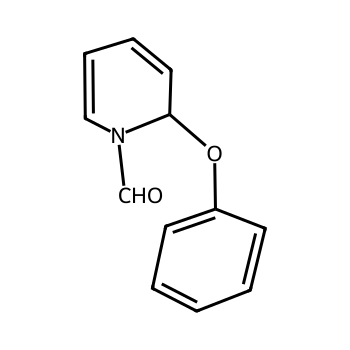 O=CN1C=CC=CC1Oc1ccccc1